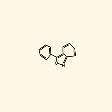 [c]1ccc(-c2onc3ccccc23)cc1